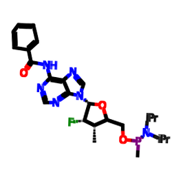 CC(C)N(C(C)C)P(C)OCC1O[C@@H](n2cnc3c(NC(=O)c4ccccc4)ncnc32)[C@@H](F)[C@H]1C